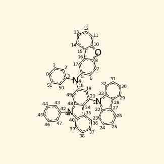 c1ccc(N(c2ccc3oc4ccccc4c3c2)c2cc(-n3c4ccccc4c4ccccc43)c3c4ccccc4n(-c4ccccc4)c3c2)cc1